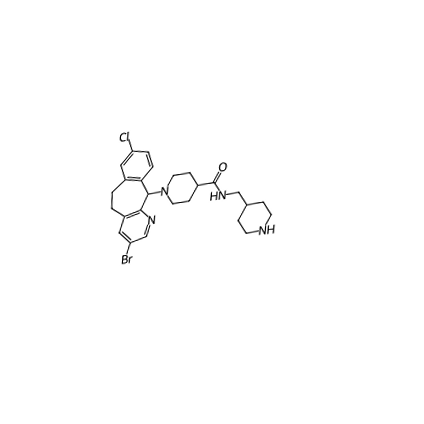 O=C(NCC1CCNCC1)C1CCN(C2c3ccc(Cl)cc3CCc3cc(Br)cnc32)CC1